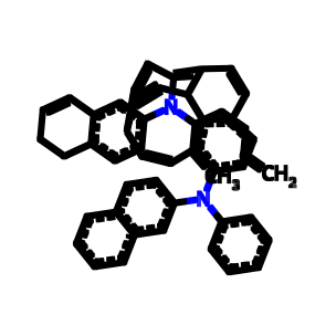 C=C/C=C\C(=C/C)N(C1=C2/C=Cc3ccc(N(c4ccccc4)c4ccc5ccccc5c4)c4c3C2C#CC(/C=C\1)/C=C\4)c1ccc2c(c1)C=CCC2